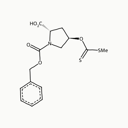 CSC(=S)O[C@@H]1C[C@@H](C(=O)O)N(C(=O)OCc2ccccc2)C1